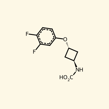 O=C(O)N[C@H]1C[C@H](Oc2ccc(F)c(F)c2)C1